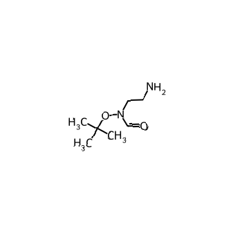 CC(C)(C)ON(C=O)CCN